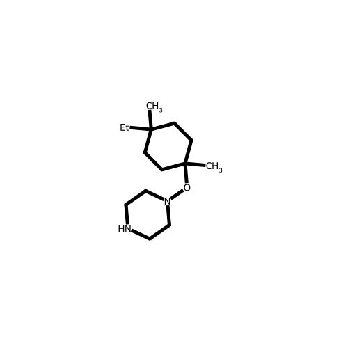 CCC1(C)CCC(C)(ON2CCNCC2)CC1